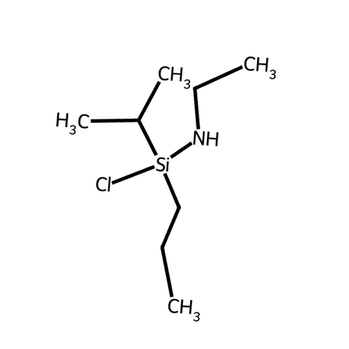 CCC[Si](Cl)(NCC)C(C)C